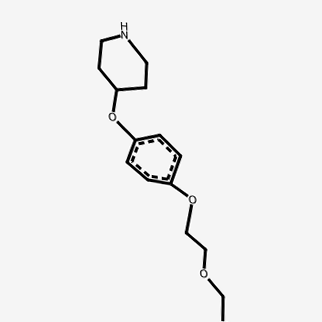 CCOCCOc1ccc(OC2CCNCC2)cc1